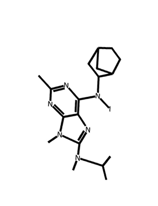 Cc1nc(N(I)C2CC3CCC2C3)c2nc(N(C)C(C)C)n(C)c2n1